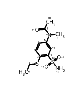 CCSc1ccc(N(C)C(C)=O)cc1S(N)(=O)=O